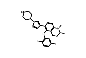 CC1CCc2c(ccc(-c3cnn(C4CCNCC4)c3)c2Oc2cc(F)ccc2F)N1C